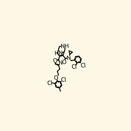 Cc1cc(Cl)c(OCCCc2coc(C3=C(C(=O)N(Cc4cccc(Cl)c4Cl)C4CC4)C4CNCC(C3)N4)n2)c(Cl)c1